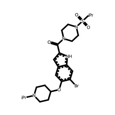 CC(C)N1CCC(Oc2cc3cc(C(=O)N4CCN(S(=O)(=O)C(C)C)CC4)[nH]c3cc2Br)CC1